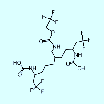 O=C(O)NC(CCCC(CCC(CC(F)(F)F)NC(=O)O)CNC(=O)OCC(F)(F)F)CC(F)(F)F